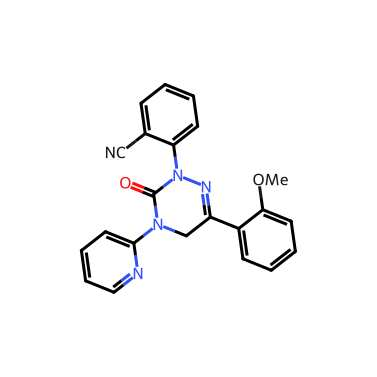 COc1ccccc1C1=NN(c2ccccc2C#N)C(=O)N(c2ccccn2)C1